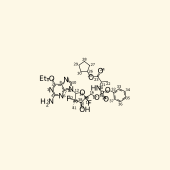 CCOc1nc(N)nc2c1ncn2C1O[C@](F)(COP(=O)(NC(C)C(=O)OC2CCCC2)Oc2ccccc2)[C@@H](O)[C@@]1(C)F